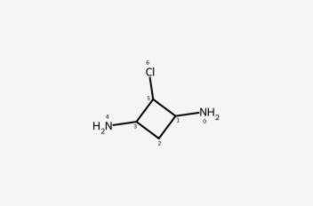 NC1CC(N)C1Cl